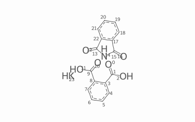 O=C(O)c1ccccc1C(=O)O.O=C1NC(=O)c2ccccc21.[KH]